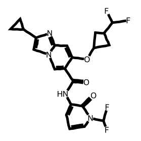 O=C(Nc1cccn(C(F)F)c1=O)c1cn2cc(C3CC3)nc2cc1OC1CC(C(F)F)C1